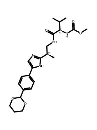 COC(=O)N[C@@H](C(=O)NC[C@@H](C)c1ncc(-c2ccc(C3OCCCO3)cc2)[nH]1)C(C)C